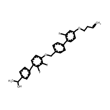 C=CCCOc1ccc(-c2ccc(COc3ccc(-c4ccc(C(C)O)cc4)c(F)c3F)cc2)c(F)c1